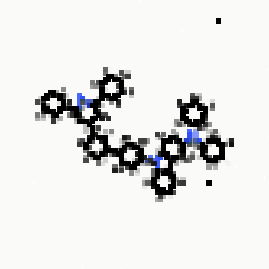 c1ccc(-c2cc(-c3cccc(-c4ccc(-n5c6ccccc6c6cc(N(c7ccccc7)c7ccccc7)ccc65)cc4)c3)cc(-c3ccccc3)n2)cc1